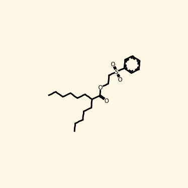 CCCCCCC(CCCCC)C(=O)OCCS(=O)(=O)c1ccccc1